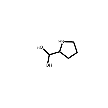 O[C](O)C1CCCN1